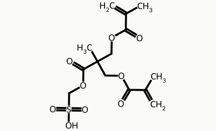 C=C(C)C(=O)OCC(C)(COC(=O)C(=C)C)C(=O)OCS(=O)(=O)O